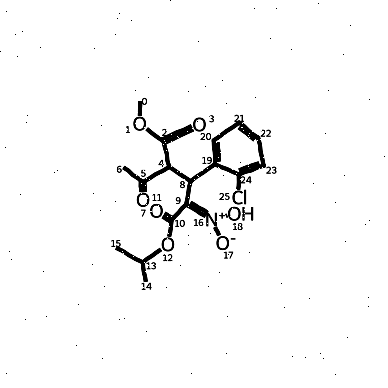 COC(=O)C(C(C)=O)C(C(C(=O)OC(C)C)=[N+]([O-])O)c1ccccc1Cl